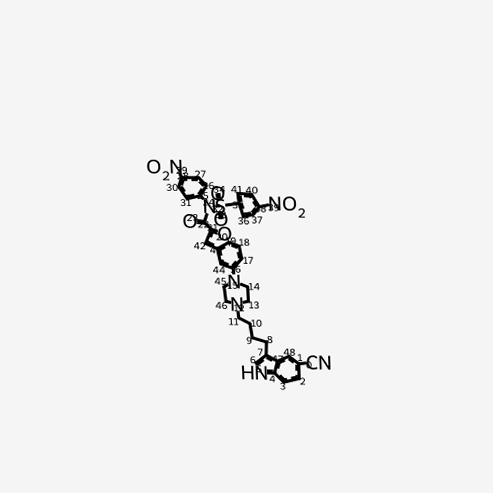 N#Cc1ccc2[nH]cc(CCCCN3CCN(c4ccc5oc(C(=O)N(c6ccc([N+](=O)[O-])cc6)S(=O)(=O)c6ccc([N+](=O)[O-])cc6)cc5c4)CC3)c2c1